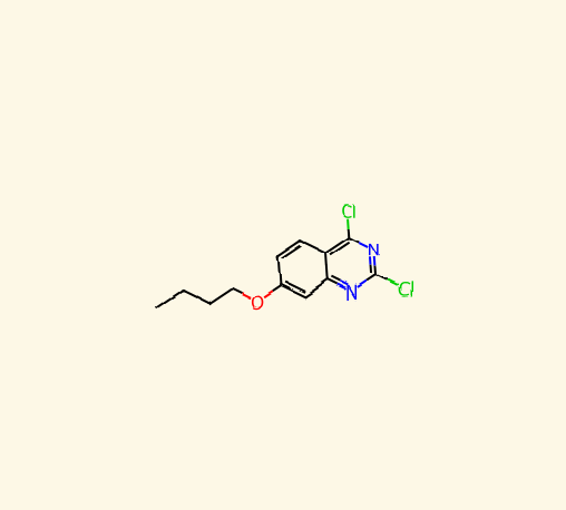 CCCCOc1ccc2c(Cl)nc(Cl)nc2c1